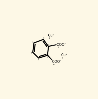 O=C([O-])c1ccccc1C(=O)[O-].[Cu+].[Cu+]